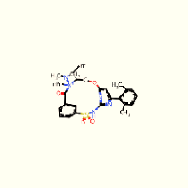 CCC[N+]1(N(C)C)C(=O)c2cccc(c2)S(=O)(=O)Nc2nc(cc(-c3c(C)cccc3C)n2)OC[C@H]1CC(C)C